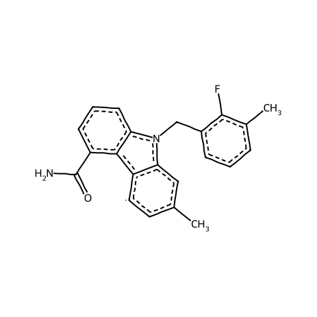 Cc1c[c]c2c3c(C(N)=O)cccc3n(Cc3cccc(C)c3F)c2c1